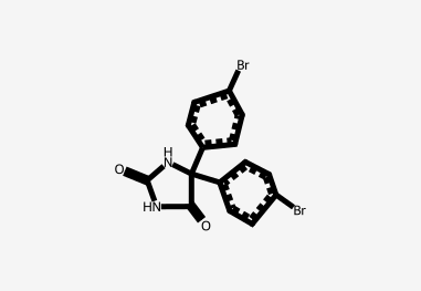 O=C1NC(=O)C(c2ccc(Br)cc2)(c2ccc(Br)cc2)N1